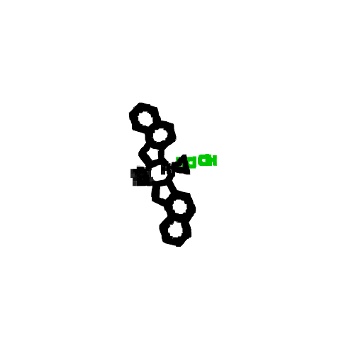 CCCCC1=Cc2c(ccc3ccccc23)[CH]1[Hf]1([CH]2C(CCCC)=Cc3c2ccc2ccccc32)[CH2][CH2]1.Cl.Cl